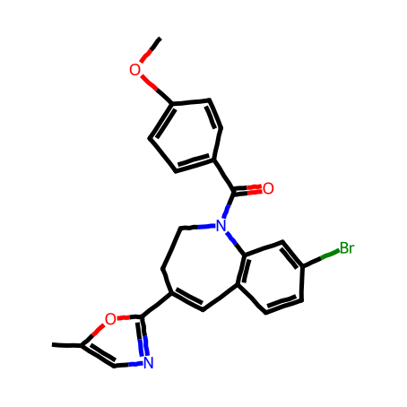 COc1ccc(C(=O)N2CCC(c3ncc(C)o3)=Cc3ccc(Br)cc32)cc1